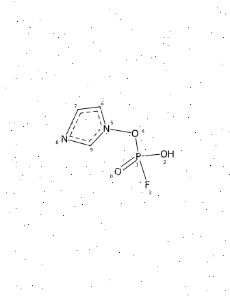 O=P(O)(F)On1ccnc1